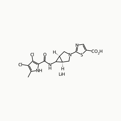 Cc1[nH]c(C(=O)NC2[C@H]3CN(c4ncc(C(=O)O)s4)C[C@@H]23)c(Cl)c1Cl.[LiH]